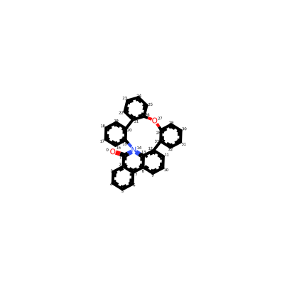 O=c1c2ccccc2c2cccc3c2n1-c1ccccc1-c1ccccc1Oc1ccccc1-3